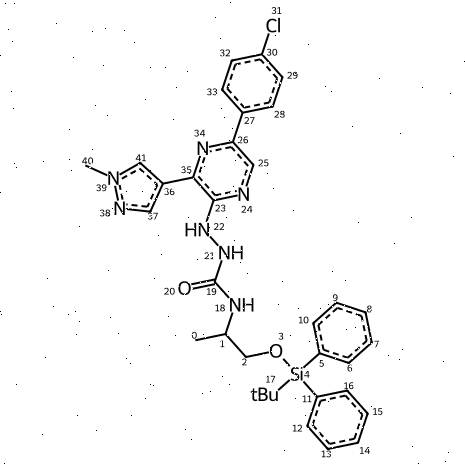 CC(CO[Si](c1ccccc1)(c1ccccc1)C(C)(C)C)NC(=O)NNc1ncc(-c2ccc(Cl)cc2)nc1-c1cnn(C)c1